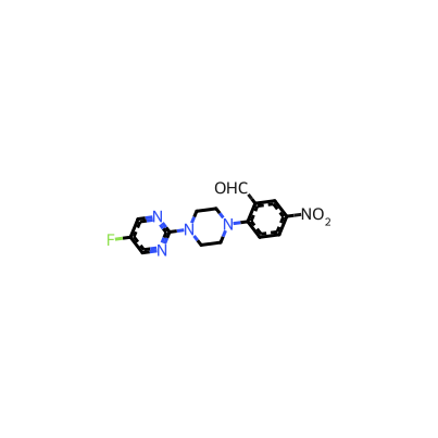 O=Cc1cc([N+](=O)[O-])ccc1N1CCN(c2ncc(F)cn2)CC1